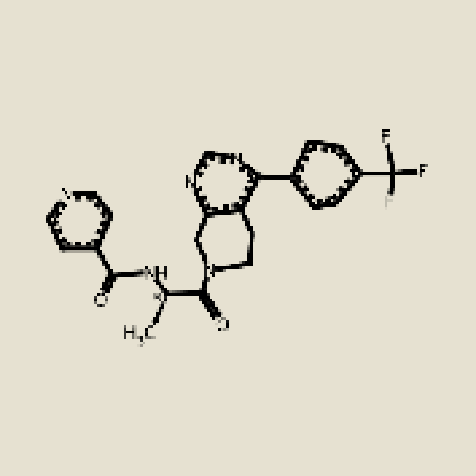 C[C@@H](NC(=O)c1ccncc1)C(=O)N1CCc2c(ncnc2-c2ccc(C(F)(F)F)cc2)C1